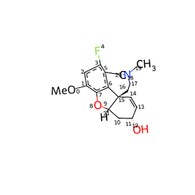 COc1cc(F)c2c3c1O[C@H]1C[C@@H](O)C=C[C@@]31CCN(C)C2